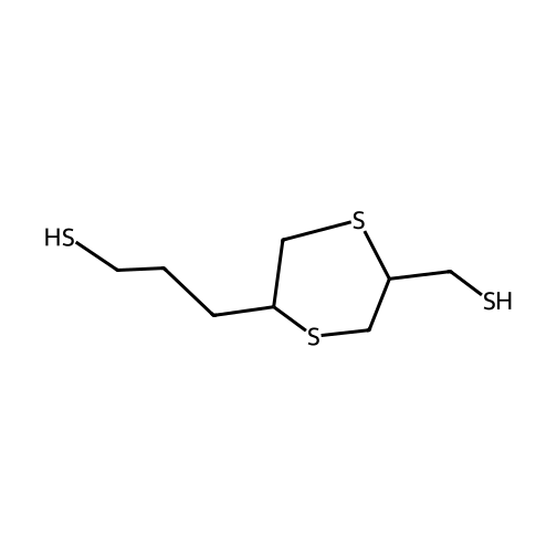 SCCCC1CSC(CS)CS1